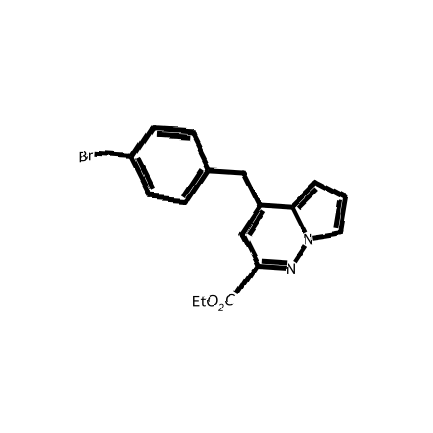 CCOC(=O)c1cc(Cc2ccc(Br)cc2)c2cccn2n1